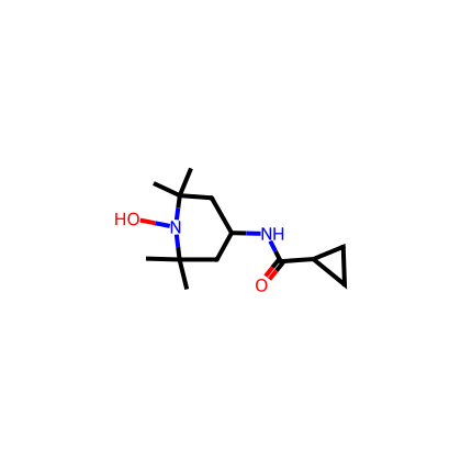 CC1(C)CC(NC(=O)C2CC2)CC(C)(C)N1O